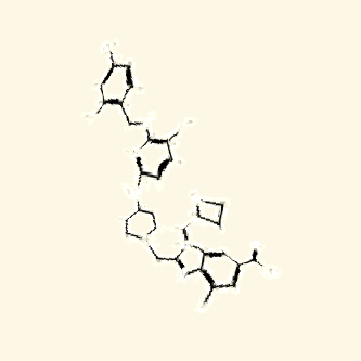 O=C(O)c1cc(F)c2nc(CN3CCC(Oc4ccc(F)c(OCc5ccc(Cl)cc5F)n4)CC3)n(C[C@@H]3CCO3)c2c1